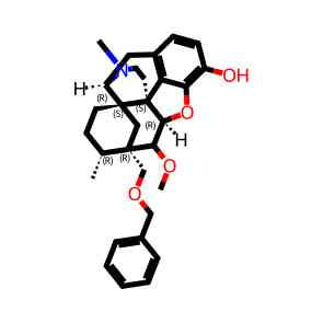 COC1[C@@H]2Oc3c(O)ccc4c3[C@@]23CCN(C)[C@H](C4)[C@]32CC[C@@H](C)[C@@]1(COCc1ccccc1)C2